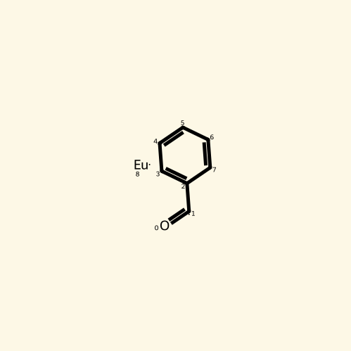 O=[C]c1ccccc1.[Eu]